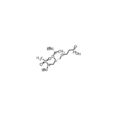 C[C@H](O[C@H](COCC[PH](=O)O)CN(C(C)(C)C)S(C)(=O)=O)C(C)(C)C